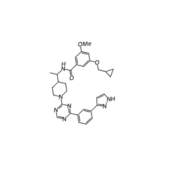 COc1cc(OCC2CC2)cc(C(=O)NC(C)C2CCN(c3ncnc(-c4cccc(-c5cc[nH]n5)c4)n3)CC2)c1